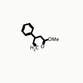 C=CC(CC(=O)OC)c1ccccc1